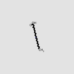 CCCCCCCCC/C=C/CCCCCCCCC(=O)O